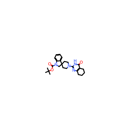 CC(C)(C)OC(=O)N1CC2(CCN(c3nc4c(c(=O)[nH]3)CCCC4)CC2)c2ccccc21